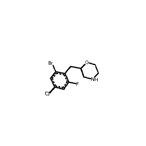 Fc1cc(Cl)cc(Br)c1CC1CNCCO1